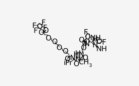 CC(C)C(NC(=O)CCOCCOCCOCCOCCC(=O)Oc1c(F)c(F)cc(F)c1F)C(=O)N[C@@H](C)C(=O)NCCOCn1nc2c3c(cc(F)cc3c1=O)N[C@H](c1ccc(F)cc1)C2CNC=N